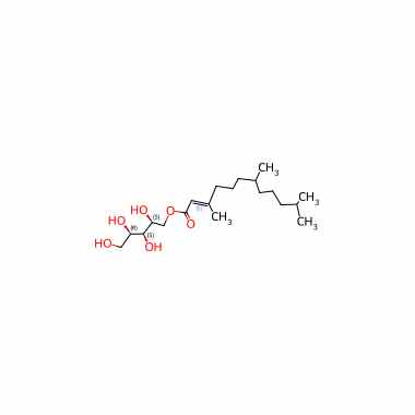 C/C(=C\C(=O)OC[C@H](O)[C@@H](O)[C@H](O)CO)CCCC(C)CCCC(C)C